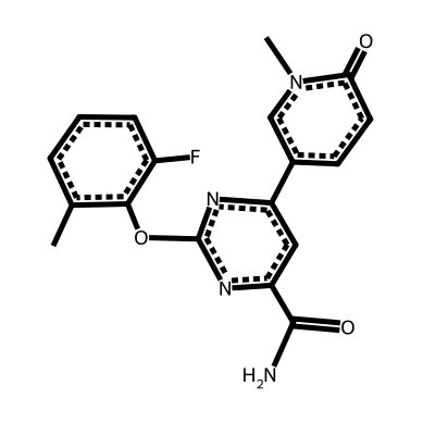 Cc1cccc(F)c1Oc1nc(C(N)=O)cc(-c2ccc(=O)n(C)c2)n1